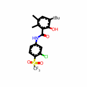 Cc1cc(C(C)(C)C)c(O)c(C(=O)Nc2ccc(S(=O)(=O)C(F)(F)F)c(Cl)c2)c1C